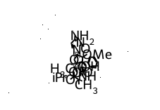 COC1C(O)[C@@H](C(C)OP(=O)(NC(C)C(=O)OC(C)C)Oc2ccccc2)O[C@H]1n1ccc(N)nc1=O